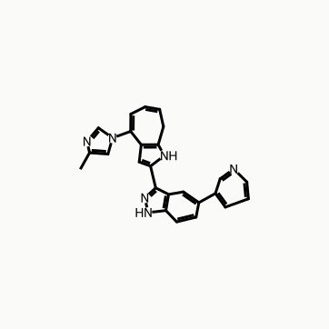 Cc1cn(C2=CC=CCc3[nH]c(-c4n[nH]c5ccc(-c6cccnc6)cc45)cc32)cn1